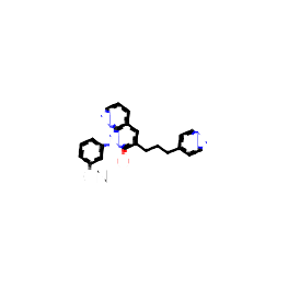 N#Cc1cccc(-n2c(=O)c(CCCc3ccncc3)cc3cccnc32)c1